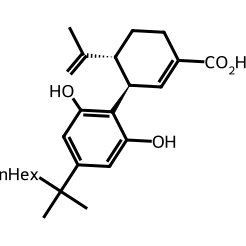 C=C(C)[C@@H]1CCC(C(=O)O)=C[C@H]1c1c(O)cc(C(C)(C)CCCCCC)cc1O